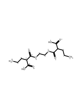 CCCC(C(=O)O)C(=O)OCCOC(=O)C(CCC)C(=O)O